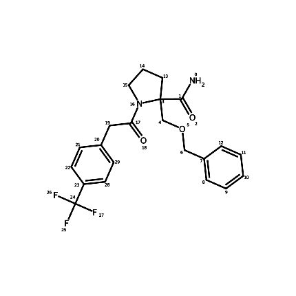 NC(=O)C1(COCc2ccccc2)CCCN1C(=O)Cc1ccc(C(F)(F)F)cc1